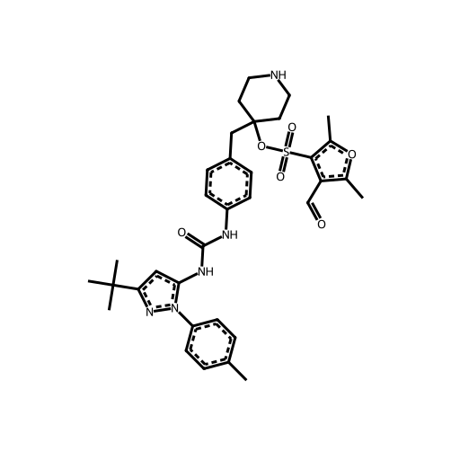 Cc1ccc(-n2nc(C(C)(C)C)cc2NC(=O)Nc2ccc(CC3(OS(=O)(=O)c4c(C)oc(C)c4C=O)CCNCC3)cc2)cc1